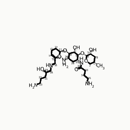 C[C@@H]1CO[C@H](O[C@@H]2[C@@H](O)[C@H](O[C@@H]3CCC=C(CNCC(O)CCCN)O3)[C@@H](N)C[C@H]2NC(=O)CCCN)[C@H](O)C1